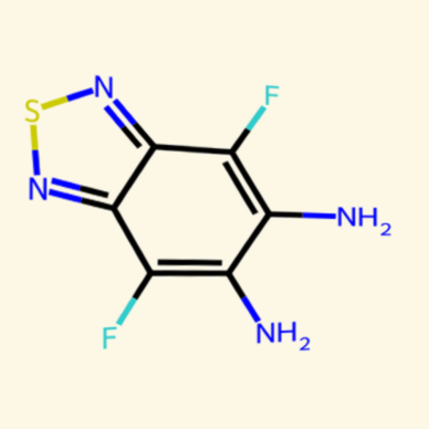 Nc1c(N)c(F)c2nsnc2c1F